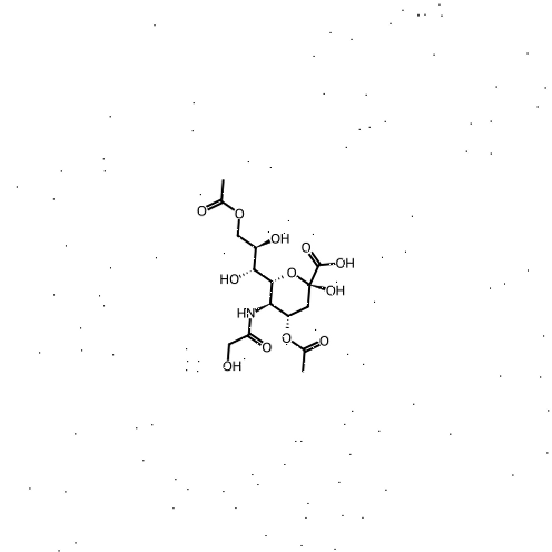 CC(=O)OC[C@@H](O)[C@@H](O)[C@@H]1O[C@](O)(C(=O)O)C[C@H](OC(C)=O)[C@H]1NC(=O)CO